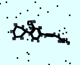 NCC#Cc1ccc(C2CCCCC2)c(Cl)c1